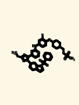 CCc1nc(-c2ccc3ccn(S(=O)(=O)c4ccccc4)c3c2)c(-c2ccnc(Nc3ccc(OC4CCN(CCS(C)(=O)=O)CC4)c(F)c3)n2)s1